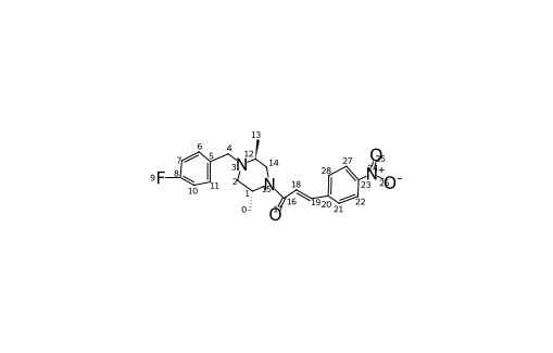 C[C@@H]1CN(Cc2ccc(F)cc2)[C@@H](C)CN1C(=O)/C=C/c1ccc([N+](=O)[O-])cc1